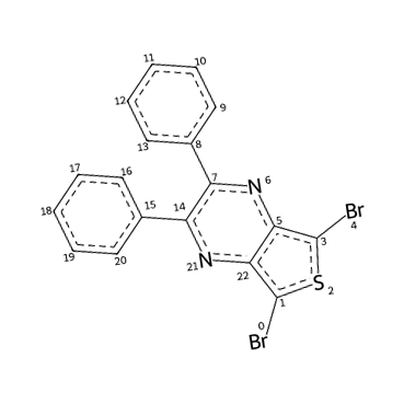 Brc1sc(Br)c2nc(-c3ccccc3)c(-c3ccccc3)nc12